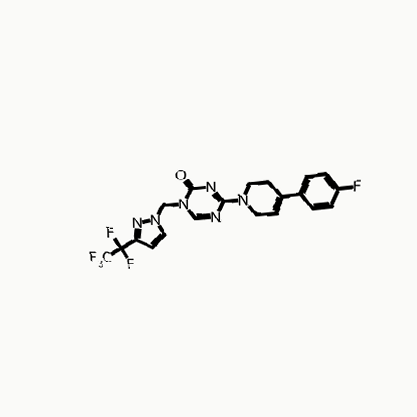 O=c1nc(N2CC=C(c3ccc(F)cc3)CC2)ncn1Cn1ccc(C(F)(F)C(F)(F)F)n1